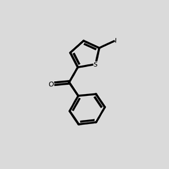 O=C(c1ccccc1)c1ccc(I)s1